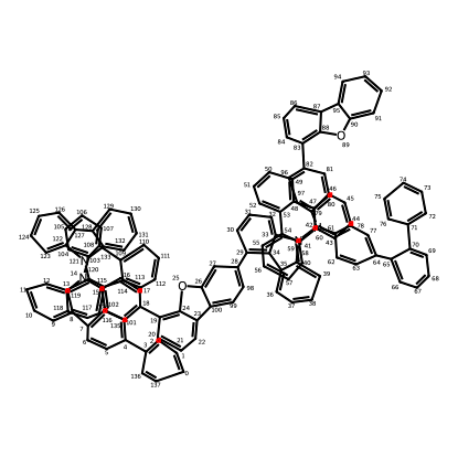 c1ccc(-c2ccc(-c3ccccc3N(c3ccc(-c4cccc5c4oc4cc(-c6cccc7c6c6ccccc6n7-c6ccccc6-c6ccccc6-c6ccccc6N(c6ccc(-c7ccccc7-c7ccccc7)cc6)c6ccc(-c7cccc8c7oc7ccccc78)cc6)ccc45)cc3)c3ccccc3-c3ccccc3-c3ccccc3-n3c4ccccc4c4ccccc43)cc2)cc1